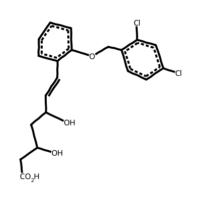 O=C(O)CC(O)CC(O)C=Cc1ccccc1OCc1ccc(Cl)cc1Cl